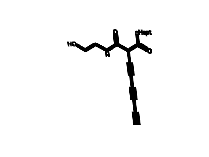 C#CC#CC#CC(C(=O)CCCCCCC)C(=O)NCCO